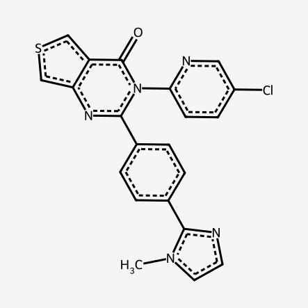 Cn1ccnc1-c1ccc(-c2nc3cscc3c(=O)n2-c2ccc(Cl)cn2)cc1